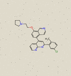 Cc1ccc(Cl)cc1-c1cc(-c2ccc(OCCN3CCCC3)c3cnccc23)c2cccnc2n1